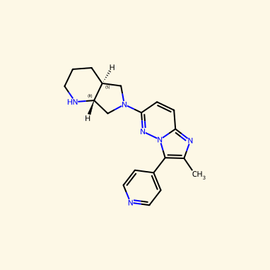 Cc1nc2ccc(N3C[C@@H]4CCCN[C@H]4C3)nn2c1-c1ccncc1